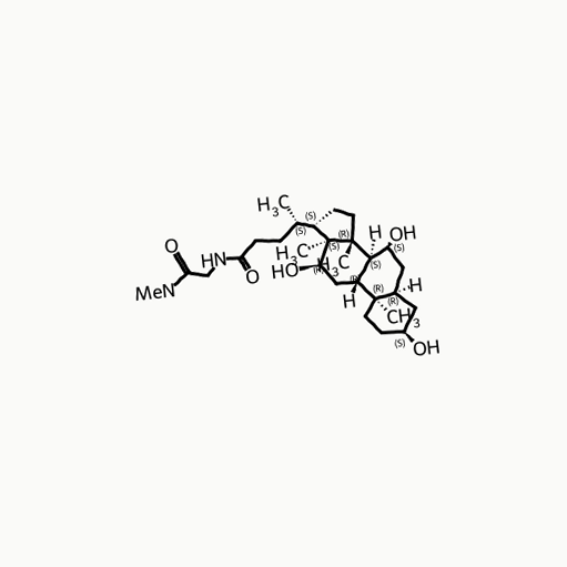 CNC(=O)CNC(=O)CC[C@H](C)[C@@H]1CC[C@]2(C)[C@@H]3[C@@H](C[C@@H](O)[C@@]12C)[C@]1(C)CC[C@H](O)C[C@@H]1C[C@@H]3O